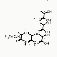 CC(O)C(=O)O.CC(O)C(=O)O.CC(O)C(=O)O.CC(O)C(=O)O.CC(O)C(=O)O.[CaH2].[CaH2]